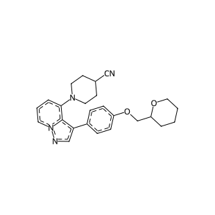 N#CC1CCN(c2cccn3ncc(-c4ccc(OCC5CCCCO5)cc4)c23)CC1